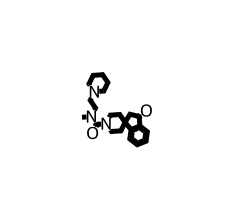 CN(CCN1CCCCC1)C(=O)N1CCC2(CC1)CC(=O)c1ccccc12